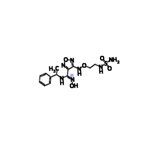 CC(N/C(=N\O)c1nonc1NOCCNS(N)(=O)=O)c1ccccc1